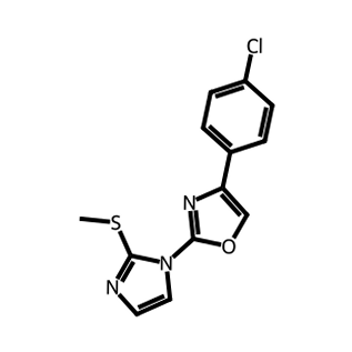 CSc1nccn1-c1nc(-c2ccc(Cl)cc2)co1